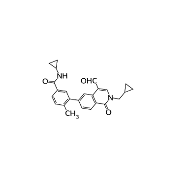 Cc1ccc(C(=O)NC2CC2)cc1-c1ccc2c(=O)n(CC3CC3)cc(C=O)c2c1